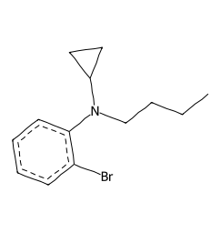 CCCCN(c1ccccc1Br)C1CC1